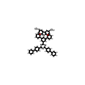 CC(C)(C)c1ccc2c(c1)c1cc(C(C)(C)C)ccc1n2-c1c(-c2ccccc2)cc(-c2nc(-c3ccc(-c4ccccc4)cc3)nc(-c3ccc(-c4ccccc4)cc3)n2)cc1-c1ccccc1